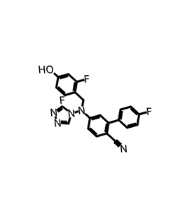 N#Cc1ccc(N(Cc2c(F)cc(O)cc2F)n2cnnc2)cc1-c1ccc(F)cc1